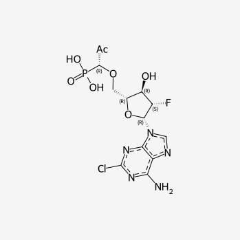 CC(=O)[C@H](OC[C@H]1O[C@@H](n2cnc3c(N)nc(Cl)nc32)[C@@H](F)[C@@H]1O)P(=O)(O)O